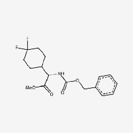 COC(=O)[C@@H](NC(=O)OCc1ccccc1)C1CCC(F)(F)CC1